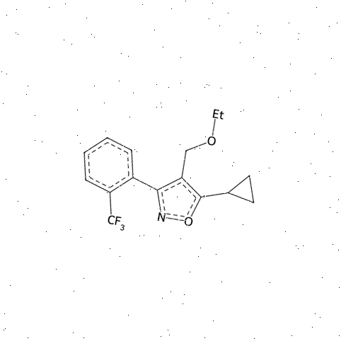 CCOCc1c(-c2ccccc2C(F)(F)F)noc1C1CC1